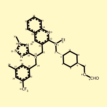 CCN(C[C@H]1CC[C@H](COC=O)CC1)c1nc2ccccc2cc1CN(Cc1cc(C)cc(C(F)(F)F)c1)c1nnn(C)n1